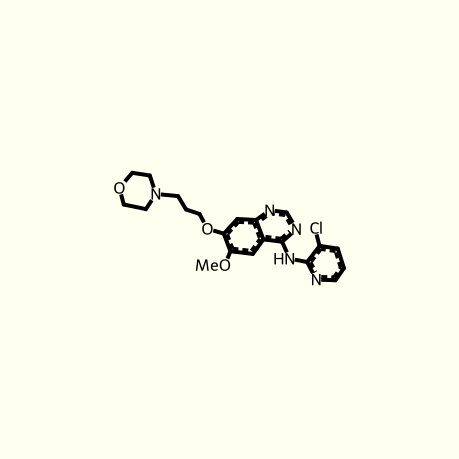 COc1cc2c(Nc3ncccc3Cl)ncnc2cc1OCCCN1CCOCC1